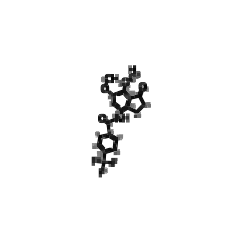 COc1cc(NC(=O)c2ccc(C(F)(F)F)cc2)c2c(c1OC)C(=O)CC2